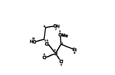 CCC(OC)[Si](Cl)(Cl)Cl.OCCO